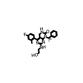 Cc1cc(F)ccc1-c1nc(NCCO)nc2c1CNC(=O)N2[C@@H](C)c1ccccc1